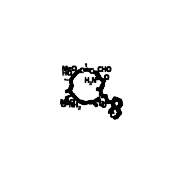 CO[C@H]1/C=C\C=C(/C)C(=O)N(CC(=O)c2cccc3ccccc23)/C(C)=C/C(=O)/C(N)=C(\C=O)C[C@@H](C)C[C@H](OC)[C@H](O)[C@@H](C)/C=C(\C)[C@@H]1CC(N)=O